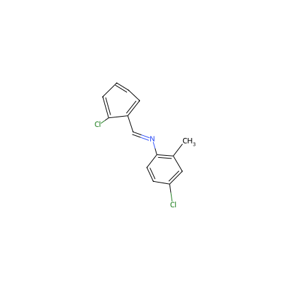 Cc1cc(Cl)ccc1N=Cc1ccccc1Cl